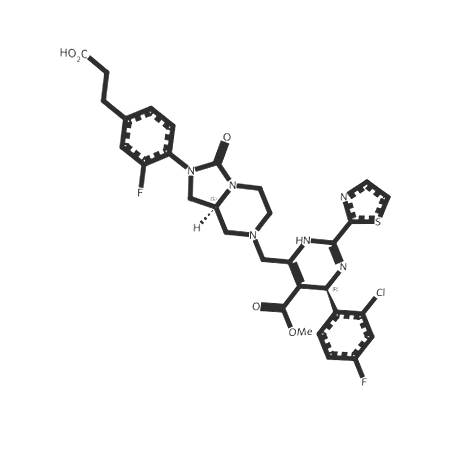 COC(=O)C1=C(CN2CCN3C(=O)N(c4ccc(CCC(=O)O)cc4F)C[C@@H]3C2)NC(c2nccs2)=N[C@H]1c1ccc(F)cc1Cl